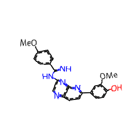 COc1ccc(C(=N)Nc2cnc3ccc(-c4ccc(O)c(OC)c4)nc3n2)cc1